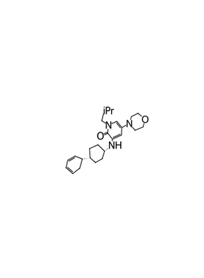 CC(C)Cn1cc(N2CCOCC2)cc(N[C@H]2CC[C@@H](C3C=CC=CC3)CC2)c1=O